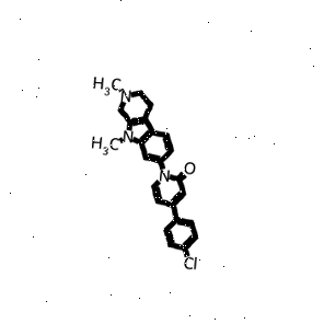 CN1CCc2c(n(C)c3cc(-n4ccc(-c5ccc(Cl)cc5)cc4=O)ccc23)C1